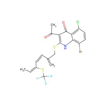 C=C(/C=C\C(=C/C)SC(F)(F)F)CSc1[nH]c2c(Br)ccc(Cl)c2c(=O)c1C(C)=O